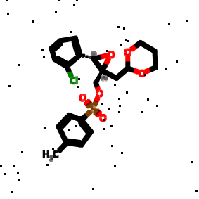 Cc1ccc(S(=O)(=O)OC[C@]2(CC3OCCCO3)O[C@H]2c2ccccc2Cl)cc1